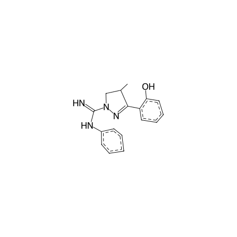 CC1CN(C(=N)Nc2ccccc2)N=C1c1ccccc1O